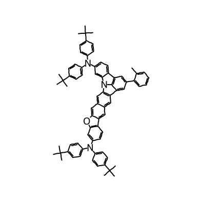 Cc1ccccc1-c1cc2c3ccc(N(c4ccc(C(C)(C)C)cc4)c4ccc(C(C)(C)C)cc4)cc3n3c4cc5cc6oc7cc(N(c8ccc(C(C)(C)C)cc8)c8ccc(C(C)(C)C)cc8)ccc7c6cc5cc4c(c1)c23